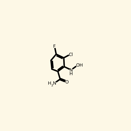 NC(=O)c1ccc(F)c(Cl)c1NO